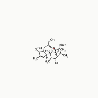 CCCCCCCCCCCC(=O)O[C@@]12[C@H](O)[C@@H](C)[C@@]3(O)[C@@H](C=C(CO)C[C@]4(O)C(=O)C(C)=C[C@@H]34)[C@@H]1C2(C)C